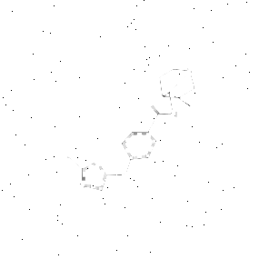 O=C(N[C@H]1CN2CCC1CC2)c1ccc(Sc2cnc(Cl)s2)cc1